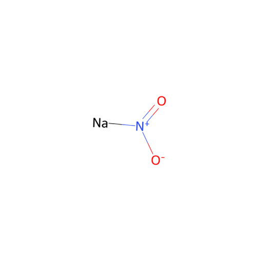 O=[N+]([O-])[Na]